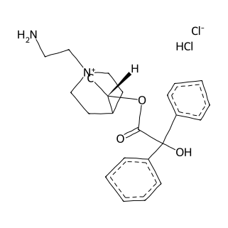 Cl.NCC[N+]12CCC(CC1)[C@@H](OC(=O)C(O)(c1ccccc1)c1ccccc1)C2.[Cl-]